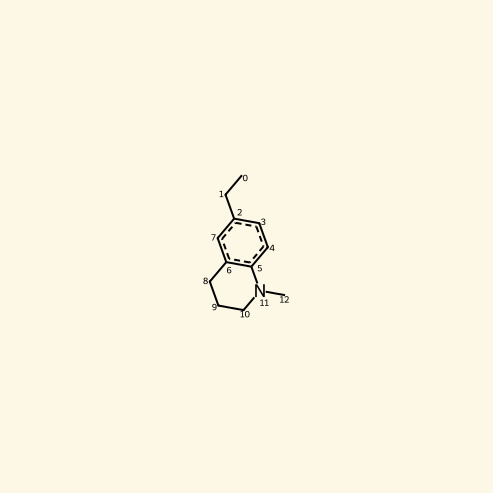 CCc1ccc2c(c1)CCCN2C